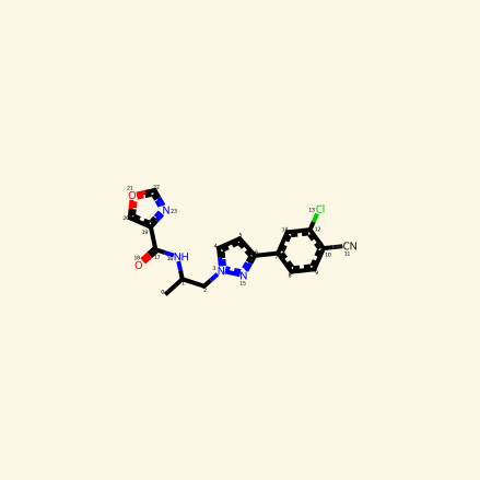 CC(Cn1ccc(-c2ccc(C#N)c(Cl)c2)n1)NC(=O)c1cocn1